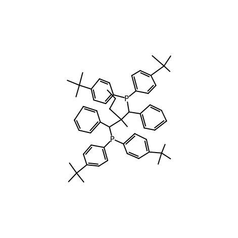 CCCC(C)(C(c1ccccc1)P(c1ccc(C(C)(C)C)cc1)c1ccc(C(C)(C)C)cc1)C(c1ccccc1)P(c1ccc(C(C)(C)C)cc1)c1ccc(C(C)(C)C)cc1